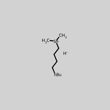 CCCCCCC[CH2][Sn]([CH3])[CH3].[H-]